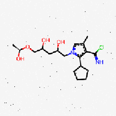 Cc1cn(CC(O)CC(O)CO[C@H](C)O)c(C2CCCC2)c1C(=N)Cl